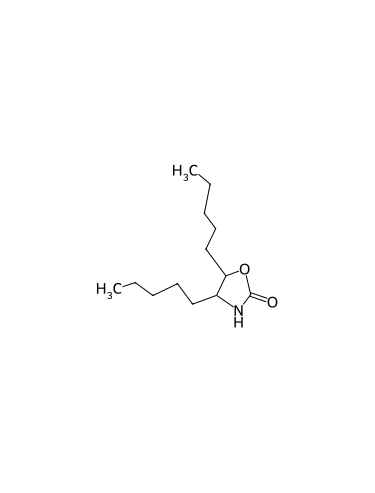 CCCCCC1NC(=O)OC1CCCCC